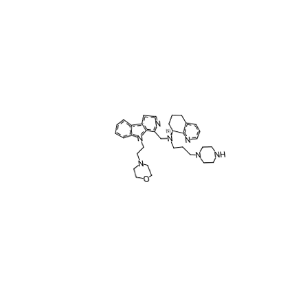 c1cnc2c(c1)CCC[C@@H]2N(CCCN1CCNCC1)Cc1nccc2c3ccccc3n(CCN3CCOCC3)c12